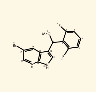 COC(c1c(F)[c]ccc1F)c1c[nH]c2ncc(Br)cc12